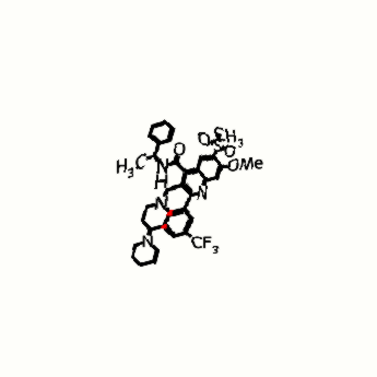 COc1cc2nc(-c3cccc(C(F)(F)F)c3)c(CN3CCC(N4CCCCC4)CC3)c(C(=O)N[C@@H](C)c3ccccc3)c2cc1S(C)(=O)=O